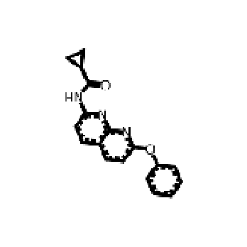 O=C(Nc1ccc2ccc(Oc3ccccc3)nc2n1)C1CC1